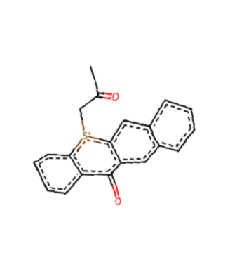 CC(=O)C[s+]1c2ccccc2c(=O)c2cc3ccccc3cc21